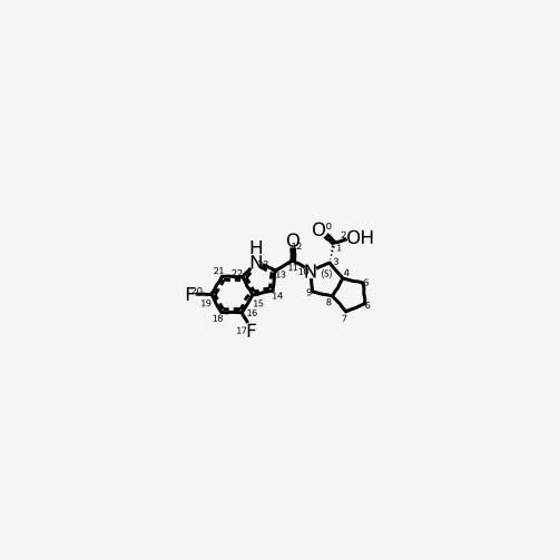 O=C(O)[C@@H]1C2CCCC2CN1C(=O)c1cc2c(F)cc(F)cc2[nH]1